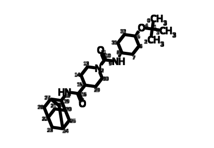 CC(C)(C)O[C@H]1CC[C@H](NC(=O)N2CCC(C(=O)NC3C4CC5CC(C4)CC3C5)CC2)CC1